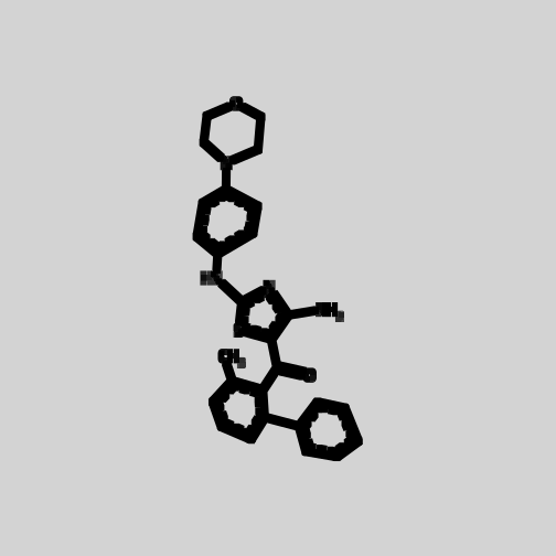 Cc1cccc(-c2ccccc2)c1C(=O)c1sc(Nc2ccc(N3CCOCC3)cc2)nc1N